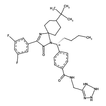 CCCC[C@H](c1ccc(C(=O)NCC2=NNNN2)cc1)N1C(=O)C(c2cc(F)cc(F)c2)=NC12CCC(C(C)(C)C)CC2